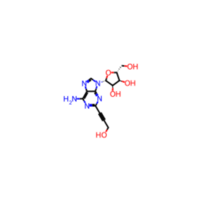 Nc1nc(C#CCO)nc2c1ncn2[C@@H]1O[C@H](CO)[C@@H](O)[C@H]1O